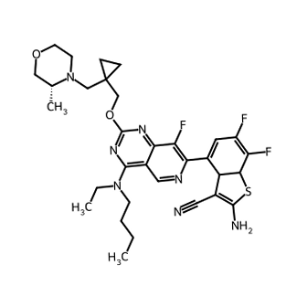 CCCCN(CC)c1nc(OCC2(CN3CCOC[C@H]3C)CC2)nc2c(F)c(C3=CC(F)=C(F)C4SC(N)=C(C#N)C34)ncc12